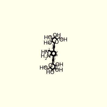 N=Cc1c(C#CC2O[C@H](CO)[C@@H](O)C(O)[C@@H]2O)ccc(C#CC2O[C@H](CO)[C@@H](O)[C@H](O)[C@@H]2O)c1N